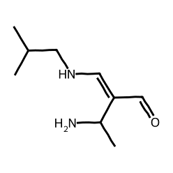 CC(C)CN/C=C(/C=O)C(C)N